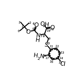 CC(C)(C)OC(=O)NC(CSc1ccc(Cl)cc1N)C(=O)O